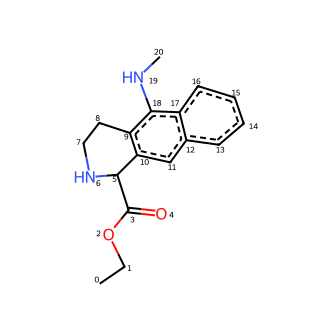 CCOC(=O)C1NCCc2c1cc1ccccc1c2NC